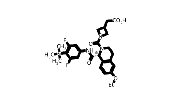 CCOc1ccc2c(c1)CCN(C(=O)N1CC(CC(=O)O)C1)[C@H]2C(=O)Nc1cc(F)c([Si](C)(C)C)c(F)c1